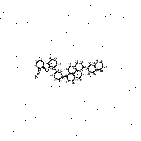 N#Cc1cccc2c1oc1c(-c3cccc(-c4ccc5ccc6c(-c7ccc8ccccc8c7)ccc7ccc4c5c76)c3)cccc12